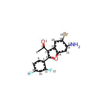 CC(=O)c1c(-c2ccc(F)cc2F)oc2cc(N)c(Br)cc12